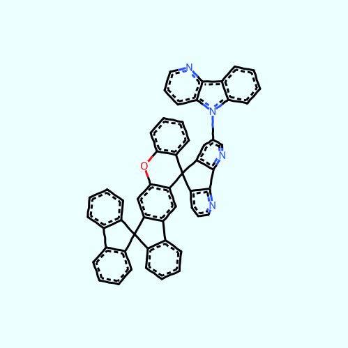 c1ccc2c(c1)Oc1cc3c(cc1C21c2cccnc2-c2ncc(-n4c5ccccc5c5ncccc54)cc21)-c1ccccc1C31c2ccccc2-c2ccccc21